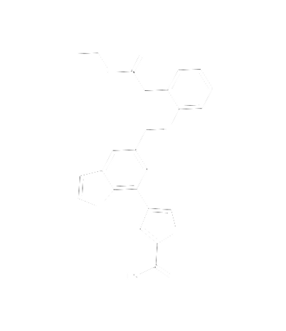 CCOC(=O)Cc1ccccc1OCc1cc(-c2csc(C(N)=O)c2)c2occc2c1